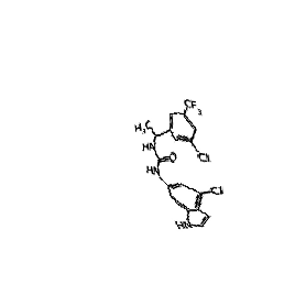 CC(NC(=O)Nc1cc(Cl)c2cc[nH]c2c1)c1cc(Cl)cc(C(F)(F)F)c1